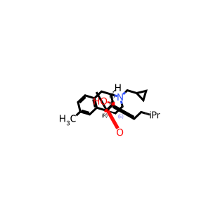 Cc1ccc2c(c1)[C@]13CCN(CC4CC4)[C@H](C2)[C@]1(O)C/C(=C\CC(C)C)C(=O)C3